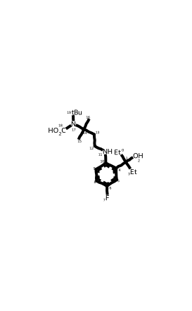 CCC(O)(CC)c1cc(F)ccc1NCCC(C)(C)N(C(=O)O)C(C)(C)C